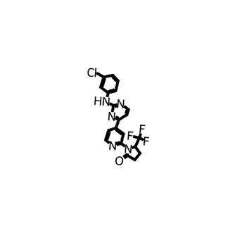 O=C1CCC(C(F)(F)F)N1c1cc(-c2ccnc(Nc3cccc(Cl)c3)n2)ccn1